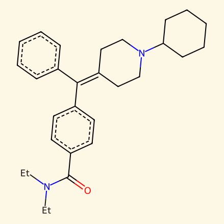 CCN(CC)C(=O)c1ccc(C(=C2CCN(C3CCCCC3)CC2)c2ccccc2)cc1